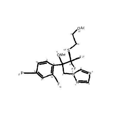 COC(Cn1cncn1)(c1ccc(F)cc1F)C(F)(F)SCCOC(C)=O